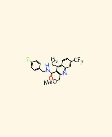 COCc1nc2cc(C(F)(F)F)ccc2c(C)c1C(=O)NCc1ccc(F)cc1